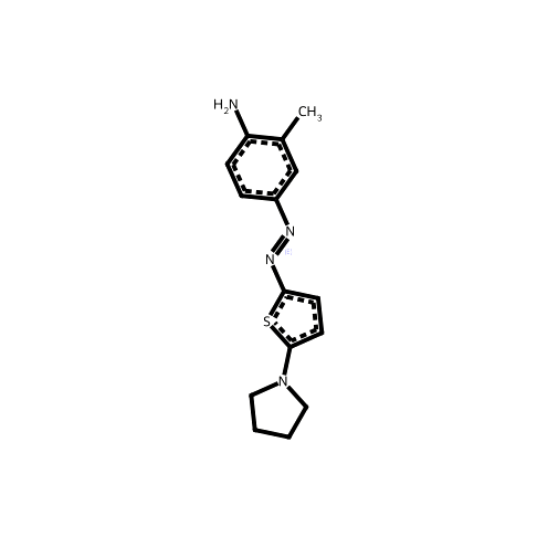 Cc1cc(/N=N/c2ccc(N3CCCC3)s2)ccc1N